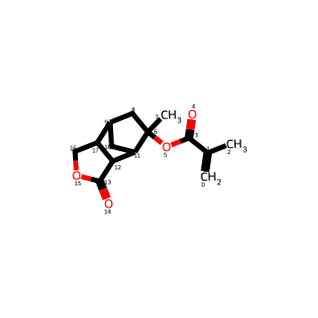 C=C(C)C(=O)OC1(C)CC2CC1C1C(=O)OCC21